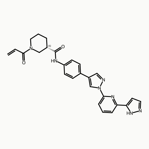 C=CC(=O)N1CCC[C@H](C(=O)Nc2ccc(-c3cnn(-c4cccc(-c5ccn[nH]5)n4)c3)cc2)C1